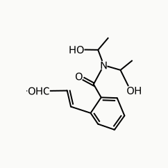 CC(O)N(C(=O)c1ccccc1/C=C/[C]=O)C(C)O